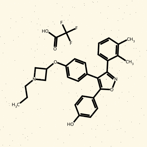 CCCN1CC(Oc2ccc(-c3c(-c4cccc(C)c4C)noc3-c3ccc(O)cc3)cc2)C1.O=C(O)C(F)(F)F